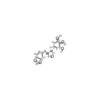 COc1cc(C[C@@H]2COC[C@H]2Cc2ccc3c(c2)OCO3)cc(OC)c1OC